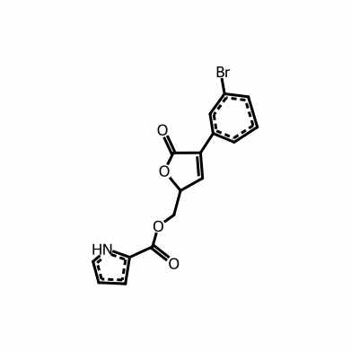 O=C1OC(COC(=O)c2ccc[nH]2)C=C1c1cccc(Br)c1